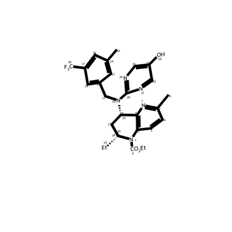 CCOC(=O)N1c2ccc(C)nc2[C@@H](N(Cc2cc(C)cc(C(F)(F)F)c2)c2ncc(O)cn2)C[C@H]1CC